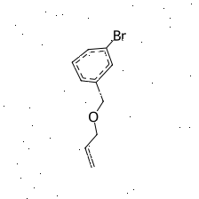 C=CCOCc1cccc(Br)c1